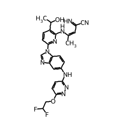 C/C(=C/C(=N)C#N)Nc1nc(-n2cnc3cc(Nc4ccc(OCC(F)F)nn4)ccc32)ccc1C(C)O